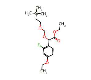 CCOC(=O)C(OCOCC[Si](C)(C)C)c1ccc(OCC)cc1F